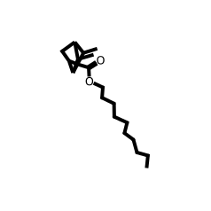 CCCCCCCCCCOC(=O)C12C(C)C3CC1C2C3C